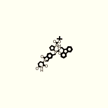 CC(C)(C)OC(=O)N[C@H]1CCC[C@@H]1N(Cc1ccc2c(c1)CN(C1CCC(=O)NC1=O)C2=O)C(=O)OCC1c2ccccc2-c2ccccc21